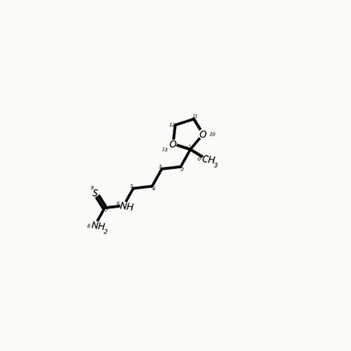 CC1(CCCCNC(N)=S)OCCO1